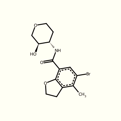 Cc1c(Br)cc(C(=O)N[C@H]2CCOC[C@@H]2O)c2c1CCO2